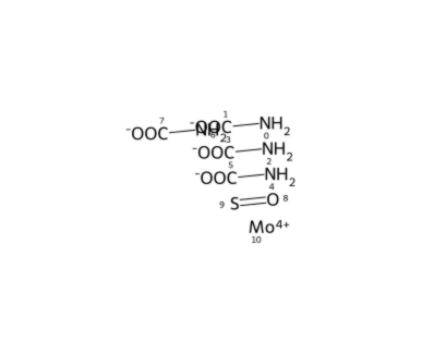 NC(=O)[O-].NC(=O)[O-].NC(=O)[O-].NC(=O)[O-].O=S.[Mo+4]